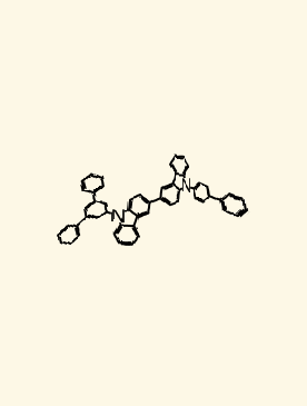 C1=CC(C2=CC(n3c4ccccc4c4cc(-c5ccc6c(c5)c5ccccc5n6-c5ccc(-c6ccccc6)cc5)ccc43)CC(C3=CCCC=C3)=C2)=CCC1